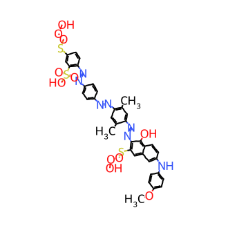 COc1ccc(Nc2ccc3c(O)c(N=Nc4cc(C)c(N=Nc5ccc(N=Nc6ccc(SOOO)cc6S(=O)(=O)O)cc5)cc4C)c(SOOO)cc3c2)cc1